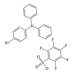 CCc1ccc([S+](c2ccccc2)c2ccccc2)cc1.O=S(=O)([O-])c1c(F)c(F)c(F)c(F)c1F